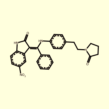 O=C1Nc2ccc([N+](=O)[O-])cc2/C1=C(/Nc1ccc(CCN2CCCC2=O)cc1)c1ccccc1